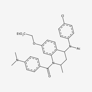 CCOC(=O)COc1ccc2c(c1)N(C(=O)c1ccc(N(C)C)cc1)C(C)CC2N(C(C)=O)c1ccc(Cl)cc1